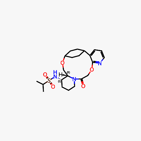 CC(C)S(=O)(=O)N[C@H]1CCCN2C(=O)COc3ncccc3C3CCC(CC3)OC[C@@H]12